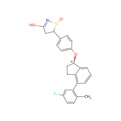 Cc1ccc(F)cc1-c1cccc2c1CC[C@H]2Oc1ccc(C2CC(O)=N[S+]2[O-])cc1